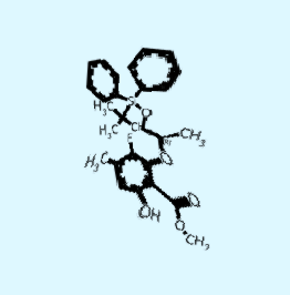 COC(=O)c1c(O)cc(C)c(F)c1O[C@H](C)CO[Si](c1ccccc1)(c1ccccc1)C(C)(C)C